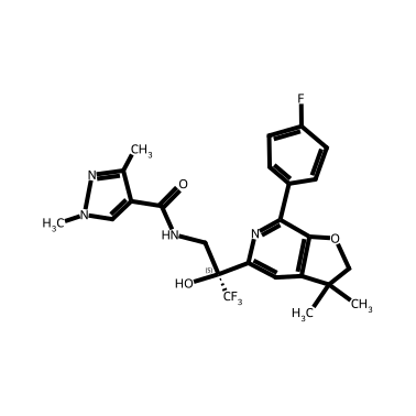 Cc1nn(C)cc1C(=O)NC[C@](O)(c1cc2c(c(-c3ccc(F)cc3)n1)OCC2(C)C)C(F)(F)F